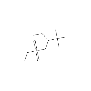 CC[C@@H](CS(=O)(=O)CC)C(C)(C)C